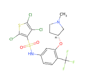 CN1CC[C@@H](Oc2cc(NS(=O)(=O)c3c(Cl)sc(Cl)c3Cl)ccc2C(F)(F)F)C1